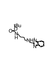 Cn1c(CNCCCCNC(=O)OC(C)(C)C)nc2ccccc21